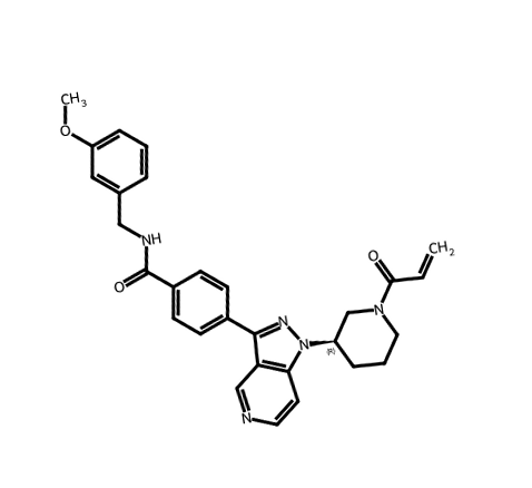 C=CC(=O)N1CCC[C@@H](n2nc(-c3ccc(C(=O)NCc4cccc(OC)c4)cc3)c3cnccc32)C1